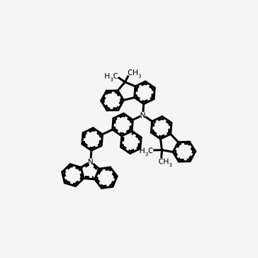 CC1(C)c2ccccc2-c2ccc(N(c3cccc4c3-c3ccccc3C4(C)C)c3ccc(-c4cccc(-n5c6ccccc6c6ccccc65)c4)c4ccccc34)cc21